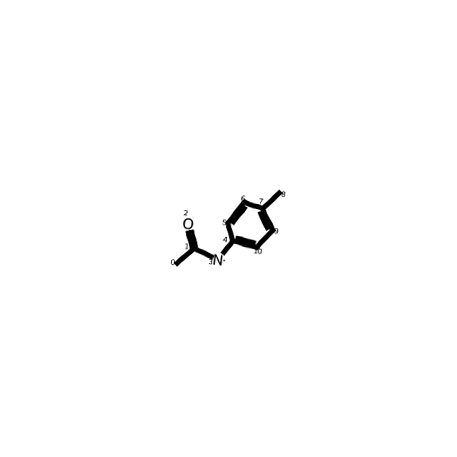 CC(=O)[N]c1ccc(C)cc1